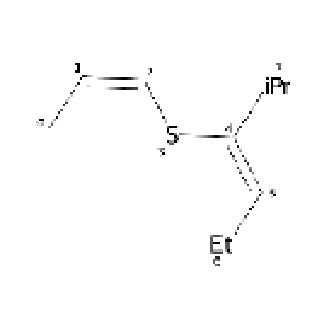 C/C=C\S/C(=C\CC)C(C)C